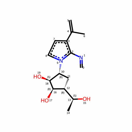 C=Nc1c(C(=C)C)ccn1[C@@H]1C[C@H]([C@H](C)O)[C@@H](O)[C@H]1O